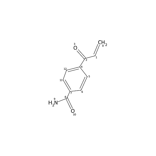 C=CC(=O)c1ccc(C(N)=O)cc1